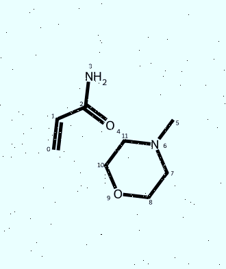 C=CC(N)=O.CN1CCOCC1